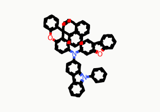 c1ccc(-n2c3ccccc3c3ccc(N(c4ccc5c(c4)C4(c6ccccc6O5)c5ccccc5-c5cccc6cccc4c56)c4ccc5c(c4)oc4ccccc45)cc32)cc1